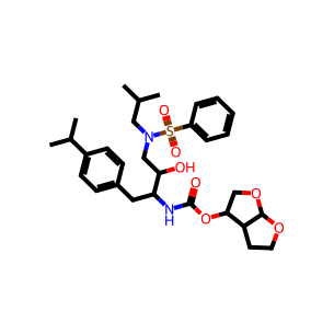 CC(C)CN(CC(O)C(Cc1ccc(C(C)C)cc1)NC(=O)OC1COC2OCCC12)S(=O)(=O)c1ccccc1